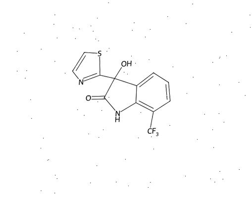 O=C1Nc2c(C(F)(F)F)cccc2C1(O)c1nccs1